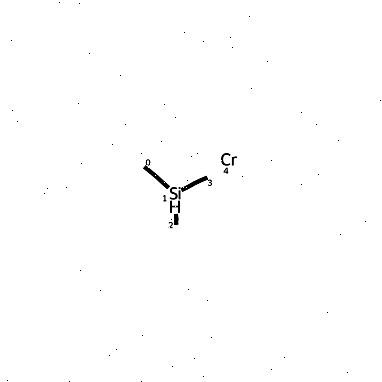 C[SiH](C)C.[Cr]